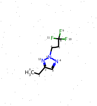 CCc1cnn(CCC(F)(F)F)n1